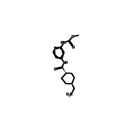 COC(=O)Nc1cc(NC(=O)[C@H]2CC[C@H](CN)CC2)ccn1